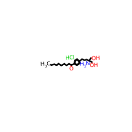 CCCCCCCCCC(=O)c1ccc(CCCC(N)(CO)CO)cc1.Cl